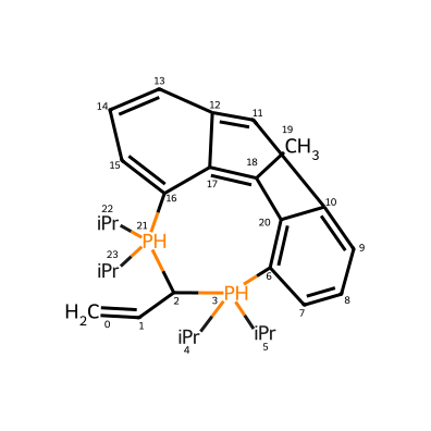 C=CC1[PH](C(C)C)(C(C)C)c2cccc3cc4cccc(c4c(C)c23)[PH]1(C(C)C)C(C)C